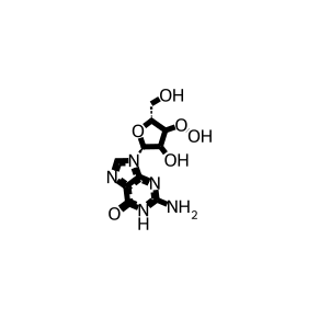 Nc1nc2c(ncn2[C@@H]2O[C@H](CO)C(OO)C2O)c(=O)[nH]1